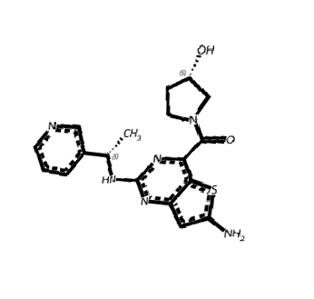 C[C@H](Nc1nc(C(=O)N2CC[C@H](O)C2)c2sc(N)cc2n1)c1cccnc1